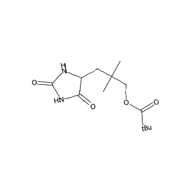 CC(C)(COC(=O)C(C)(C)C)CC1NC(=O)NC1=O